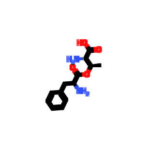 C[C@@H](OC(=O)[C@@H](N)Cc1ccccc1)[C@H](N)C(=O)O